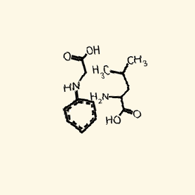 CC(C)CC(N)C(=O)O.O=C(O)CNc1ccccc1